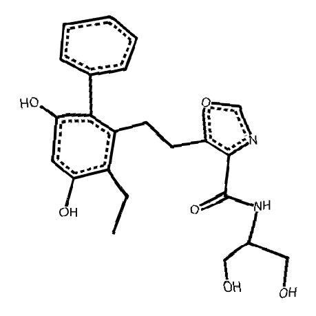 CCc1c(O)cc(O)c(-c2ccccc2)c1CCc1ocnc1C(=O)NC(CO)CO